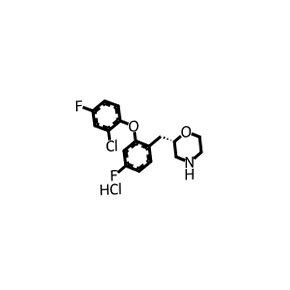 Cl.Fc1ccc(Oc2cc(F)ccc2C[C@H]2CNCCO2)c(Cl)c1